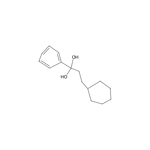 OC(O)(CCC1CCCCC1)c1ccccc1